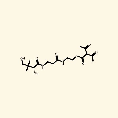 CC(=O)C(C(C)=O)C(=O)SCCNC(=O)CCNC(=O)[C@H](O)C(C)(C)CO